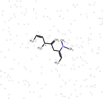 C=C(C/C(=C\C)N(C)C)[C@@H](C)/C=C\C